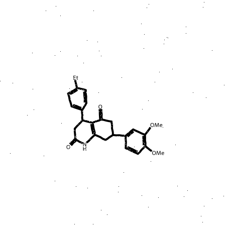 CCc1ccc(C2CC(=O)NC3=C2C(=O)CC(c2ccc(OC)c(OC)c2)C3)cc1